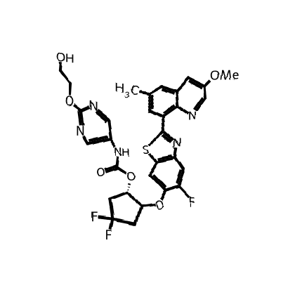 COc1cnc2c(-c3nc4cc(F)c(OC5CC(F)(F)C[C@@H]5OC(=O)Nc5cnc(OCCO)nc5)cc4s3)cc(C)cc2c1